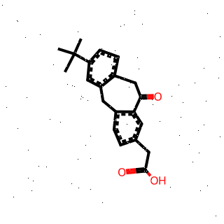 CC(C)(C)c1ccc2c(c1)Cc1ccc(CC(=O)O)cc1C(=O)C2